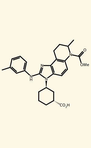 COC(=O)N1c2ccc3c(nc(Nc4cccc(C)c4)n3[C@@H]3CCC[C@@H](C(=O)O)C3)c2CCC1C